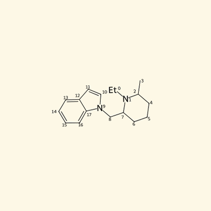 CCN1C(C)CCCC1Cn1ccc2ccccc21